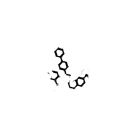 COC(=O)c1cnccc1OC(CN1CCCc2ccc(C(F)(F)F)cc21)c1ccc(-c2ccccc2)cc1